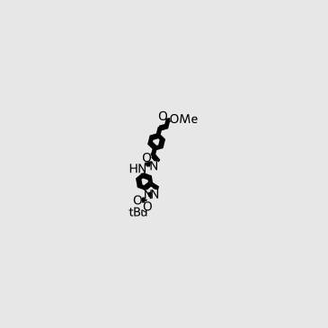 COC(=O)/C=C/c1ccc(-c2cnc(Nc3ccc4c(cnn4C(=O)OC(C)(C)C)c3)o2)cc1